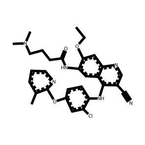 CCOc1cc2ncc(C#N)c(Nc3ccc(Oc4ncccc4C)cc3Cl)c2cc1NC(=O)CCCN(C)C